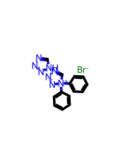 C1=NN=N[N+]1(c1ccccc1)c1ccccc1.[Br-].c1nnn[nH]1